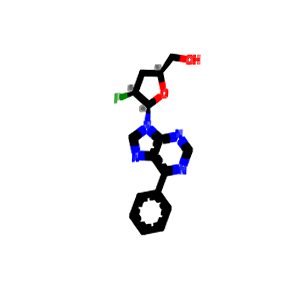 OC[C@@H]1C[C@H](F)[C@H](n2cnc3c(-c4ccccc4)ncnc32)O1